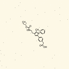 CCCOC(=O)NCCc1cc(-c2ccc(CS(=O)O)cc2)n(-c2ccccc2)c1C